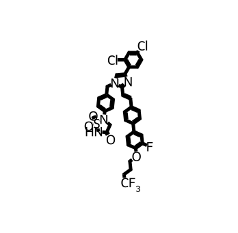 O=C1CN(c2ccc(Cn3cc(-c4ccc(Cl)cc4Cl)nc3C=Cc3ccc(-c4ccc(OCCCC(F)(F)F)c(F)c4)cc3)cc2)S(=O)(=O)N1